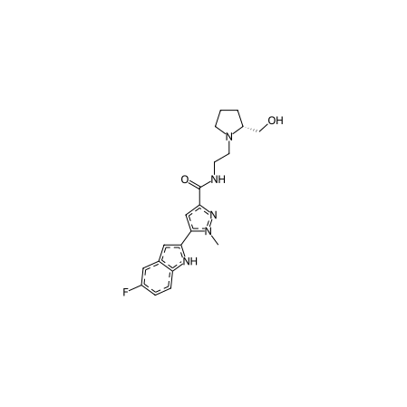 Cn1nc(C(=O)NCCN2CCC[C@@H]2CO)cc1-c1cc2cc(F)ccc2[nH]1